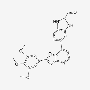 COc1cc(-c2cc3nccc(-c4ccc5c(c4)NC(C=O)N5)c3o2)cc(OC)c1OC